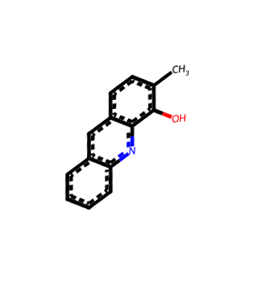 Cc1ccc2cc3ccccc3nc2c1O